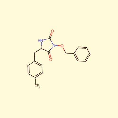 O=C1NC(Cc2ccc(C(F)(F)F)cc2)C(=O)N1OCc1ccccc1